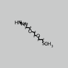 CSCCOCCOCCN=[N+]=N